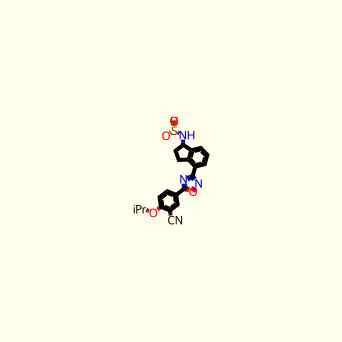 CC(C)Oc1ccc(-c2nc(-c3cccc4c3CCC4N[SH](=O)=O)no2)cc1C#N